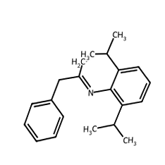 [CH2]C(Cc1ccccc1)=Nc1c(C(C)C)cccc1C(C)C